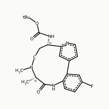 C[C@H]1C(=O)Nc2ccc(F)cc2-c2ccnc(c2)[C@@H](NC(=O)OC(C)(C)C)CCN1C